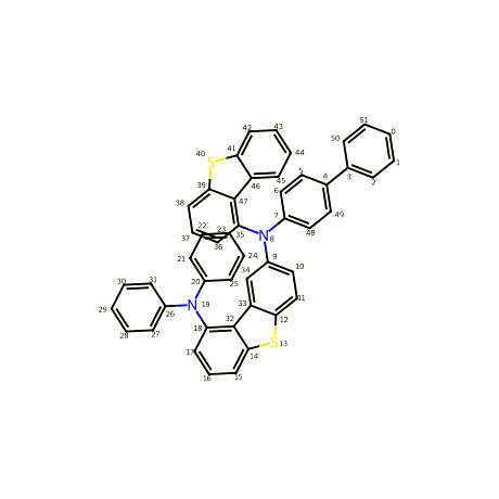 c1ccc(-c2ccc(N(c3ccc4sc5cccc(N(c6ccccc6)c6ccccc6)c5c4c3)c3cccc4sc5ccccc5c34)cc2)cc1